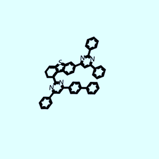 C1=c2sc3cc(-c4cc(-c5ccccc5)nc(-c5ccccc5)n4)ccc3c2=C(c2nc(-c3ccccc3)cc(-c3ccc(-c4ccccc4)cc3)n2)CC1